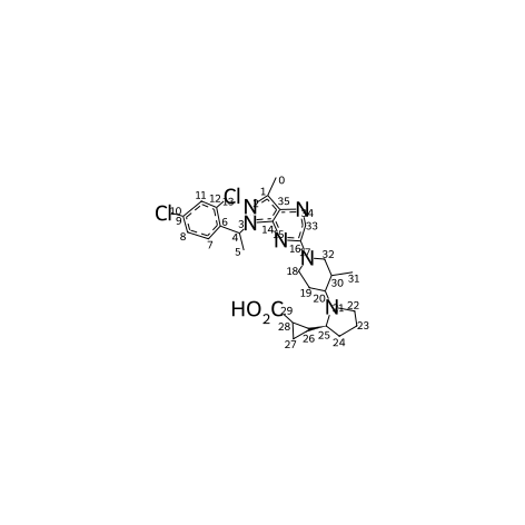 Cc1nn(C(C)c2ccc(Cl)cc2Cl)c2nc(N3CCC(N4CCC[C@H]4C4CC4C(=O)O)C(C)C3)cnc12